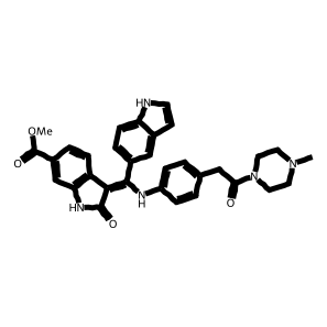 COC(=O)c1ccc2c(c1)NC(=O)/C2=C(\Nc1ccc(CC(=O)N2CCN(C)CC2)cc1)c1ccc2[nH]ccc2c1